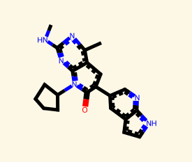 CNc1nc(C)c2cc(-c3cnc4[nH]ccc4c3)c(=O)n(C3CCCC3)c2n1